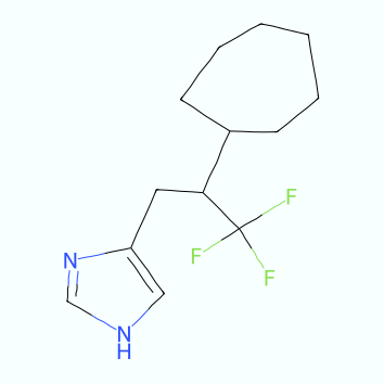 FC(F)(F)C(Cc1c[nH]cn1)C1CCCCCC1